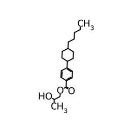 CCCCCC1CCC(c2ccc(C(=O)OCC(C)O)cc2)CC1